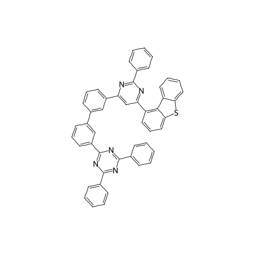 c1ccc(-c2nc(-c3cccc(-c4cccc(-c5nc(-c6ccccc6)nc(-c6ccccc6)n5)c4)c3)cc(-c3cccc4sc5ccccc5c34)n2)cc1